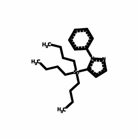 CCC[CH2][Sn]([CH2]CCC)([CH2]CCC)[c]1ccnn1-c1ccccc1